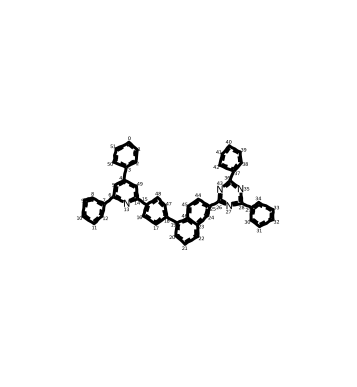 c1ccc(-c2cc(-c3ccccc3)nc(-c3ccc(-c4cccc5cc(-c6nc(-c7ccccc7)nc(-c7ccccc7)n6)ccc45)cc3)c2)cc1